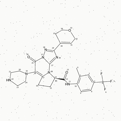 Cc1cc(C(F)(F)F)ccc1NC(=O)[C@H]1CCc2c(N3CCNCC3)c(=O)n3nc(C4=CCOCC4)nc3n21